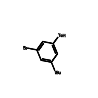 CC(C)(C)c1cc(Br)cc([TeH])c1